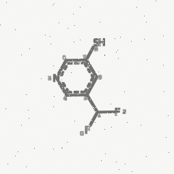 FC(F)c1cncc(S)c1